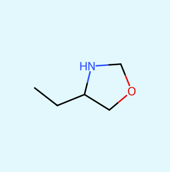 CCC1COCN1